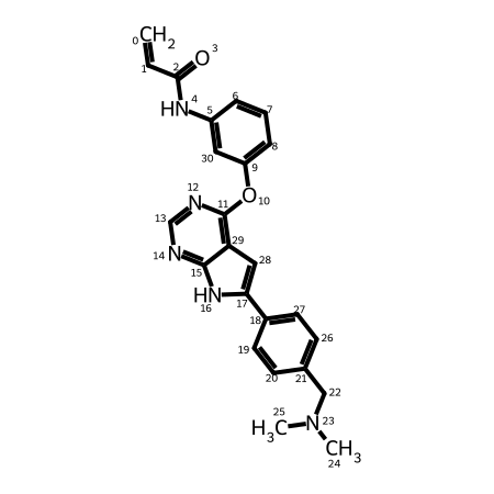 C=CC(=O)Nc1cccc(Oc2ncnc3[nH]c(-c4ccc(CN(C)C)cc4)cc23)c1